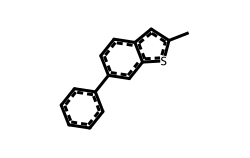 Cc1cc2ccc(-c3ccccc3)cc2s1